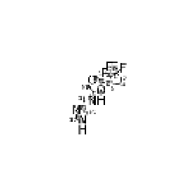 FC1(F)C=CC=C(C2=COC=C(NCc3c[nH]cn3)O2)C1(F)F